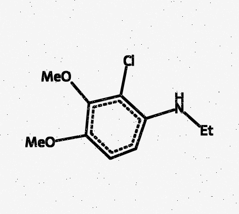 CCNc1ccc(OC)c(OC)c1Cl